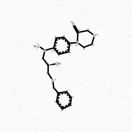 CN(C[C@@H](O)COCc1ccccc1)c1ccc(N2CCOCC2=O)cc1